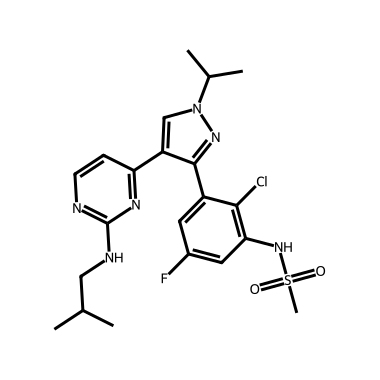 CC(C)CNc1nccc(-c2cn(C(C)C)nc2-c2cc(F)cc(NS(C)(=O)=O)c2Cl)n1